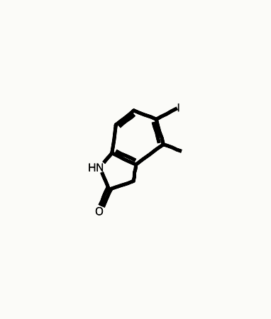 Cc1c(I)ccc2c1CC(=O)N2